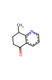 CC1CCC(=O)c2cccnc21